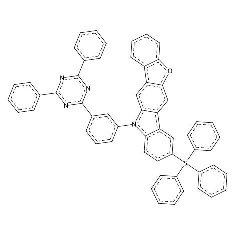 c1ccc(-c2nc(-c3ccccc3)nc(-c3cccc(-n4c5ccc(S(c6ccccc6)(c6ccccc6)c6ccccc6)cc5c5cc6oc7ccccc7c6cc54)c3)n2)cc1